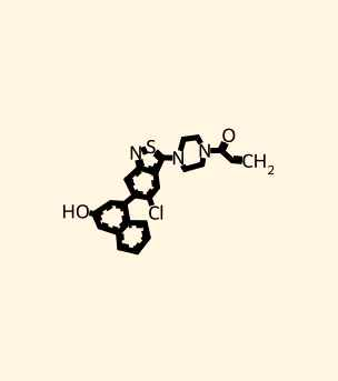 C=CC(=O)N1CCN(c2snc3cc(-c4cc(O)cc5ccccc45)c(Cl)cc23)CC1